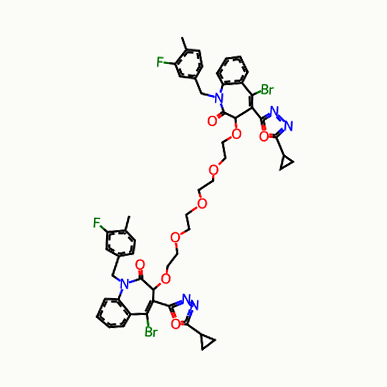 Cc1ccc(CN2C(=O)C(OCCOCCOCCOCCOC3C(=O)N(Cc4ccc(C)c(F)c4)c4ccccc4C(Br)=C3c3nnc(C4CC4)o3)C(c3nnc(C4CC4)o3)=C(Br)c3ccccc32)cc1F